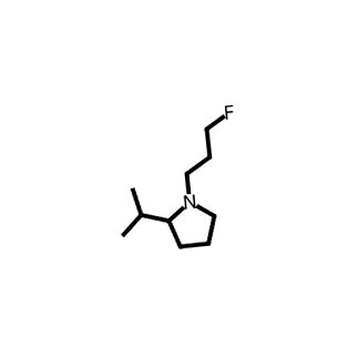 CC(C)C1CCCN1CCCF